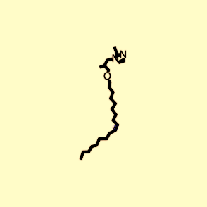 CCCCCCCC/C=C\CCCCCCCCOCC(C)Cn1ccnc1C